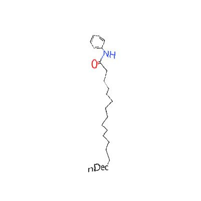 CCCCCCCCCCCCCCCCCCCCCCCC(=O)Nc1ccccc1